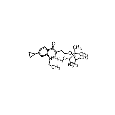 CCn1nc(CCO[Si](C(C)C)(C(C)C)C(C)C)c(=O)c2ccc(C3CC3)cc21